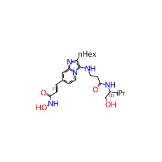 CCCCCCc1nc2cc(/C=C/C(=O)NO)ccn2c1NCCC(=O)N[C@H](CO)C(C)C